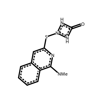 CNc1nc(Sn2[nH]c(=O)[nH]2)cc2ccccc12